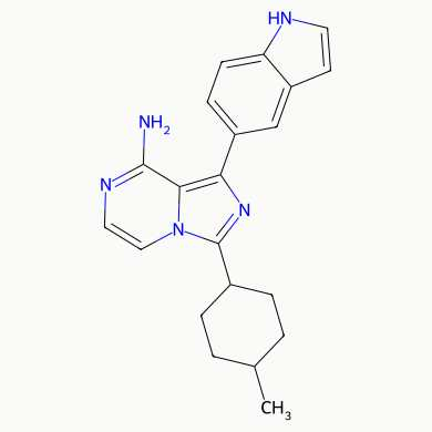 CC1CCC(c2nc(-c3ccc4[nH]ccc4c3)c3c(N)nccn23)CC1